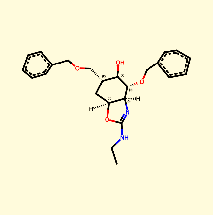 CCNC1=N[C@@H]2[C@@H](OCc3ccccc3)[C@H](O)[C@@H](COCc3ccccc3)C[C@@H]2O1